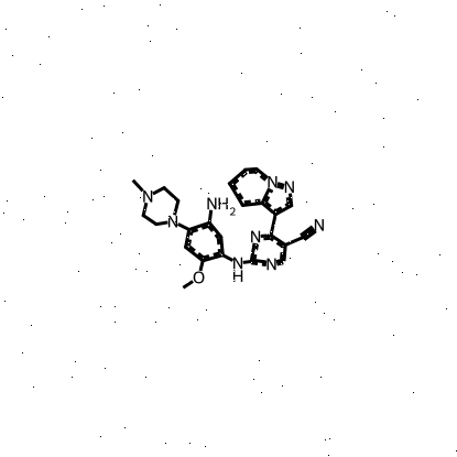 COc1cc(N2CCN(C)CC2)c(N)cc1Nc1ncc(C#N)c(-c2cnn3ccccc23)n1